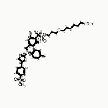 CCCCCCCCCCCCCCCCOCCCOP(=O)(O)C(F)(F)c1ccc(CN(c2ccc(F)cc2)c2ncc(-c3ccc(S(C)(=O)=O)cc3)o2)cc1Br